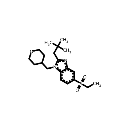 CCS(=O)(=O)c1ccc2c(c1)nc(CC(C)(C)C)n2CC1CCOCC1